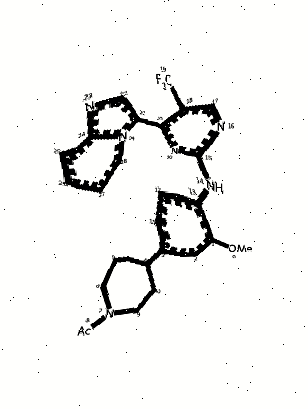 COc1cc(C2CCN(C(C)=O)CC2)ccc1Nc1ncc(C(F)(F)F)c(-c2cnc3ccccn23)n1